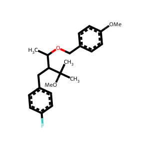 COc1ccc(COC(C)C(Cc2ccc(F)cc2)C(C)(C)OC)cc1